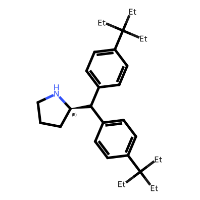 CCC(CC)(CC)c1ccc(C(c2ccc(C(CC)(CC)CC)cc2)[C@H]2CCCN2)cc1